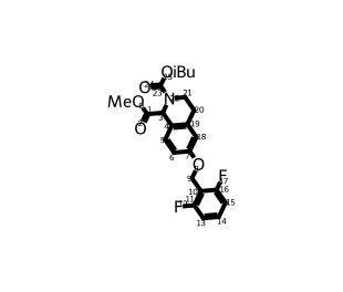 COC(=O)C1c2ccc(OCc3c(F)cccc3F)cc2CCN1C(=O)OCC(C)C